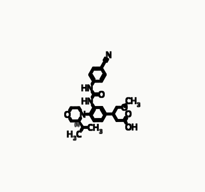 COCC(CC(=O)O)c1ccc(N2CCOC[C@@H]2C(C)C)c(NC(=O)Nc2ccc(C#N)cc2)c1